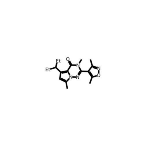 CCC(CC)c1cc(C)n2nc(-c3c(C)noc3C)n(C)c(=O)c12